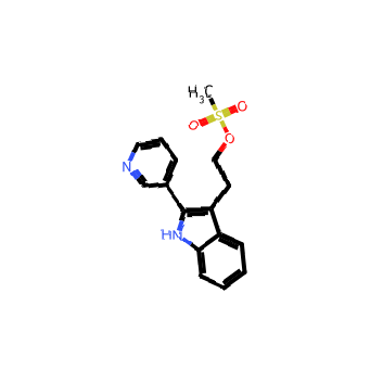 CS(=O)(=O)OCCc1c(-c2cccnc2)[nH]c2ccccc12